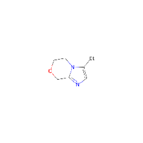 CCc1cnc2n1CCOC2